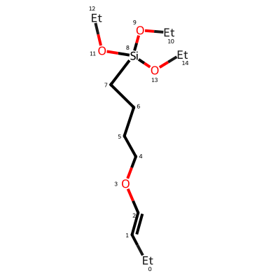 CCC=COCCCC[Si](OCC)(OCC)OCC